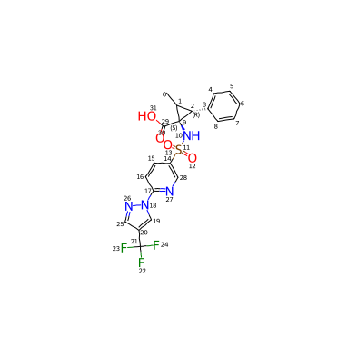 CC1[C@H](c2ccccc2)[C@]1(NS(=O)(=O)c1ccc(-n2cc(C(F)(F)F)cn2)nc1)C(=O)O